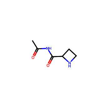 CC(=O)NC(=O)C1CCN1